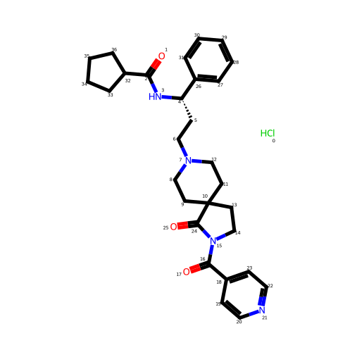 Cl.O=C(N[C@@H](CCN1CCC2(CC1)CCN(C(=O)c1ccncc1)C2=O)c1ccccc1)C1CCCC1